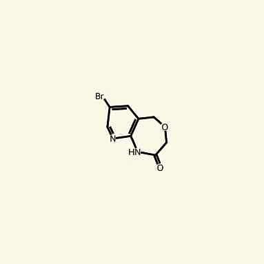 O=C1COCc2cc(Br)cnc2N1